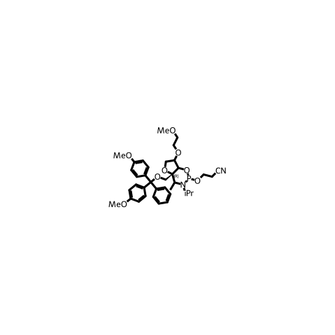 COCCOC1CO[C@]2(COC(c3ccccc3)(c3ccc(OC)cc3)c3ccc(OC)cc3)C1OP(OCCC#N)N(C(C)C)C2C